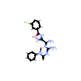 C=C(/N=C(N)\N=C(/N)c1noc(-c2cccc(F)c2)n1)N(C)c1ccccc1